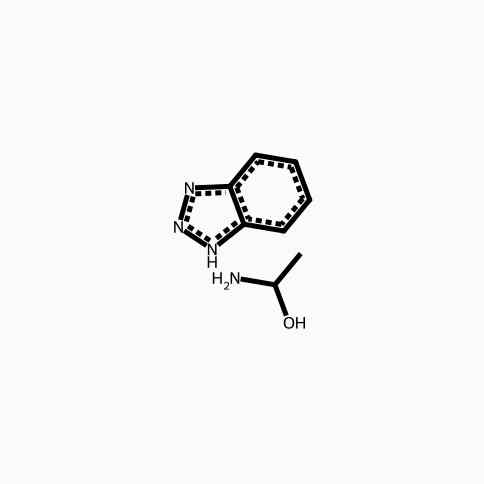 CC(N)O.c1ccc2[nH]nnc2c1